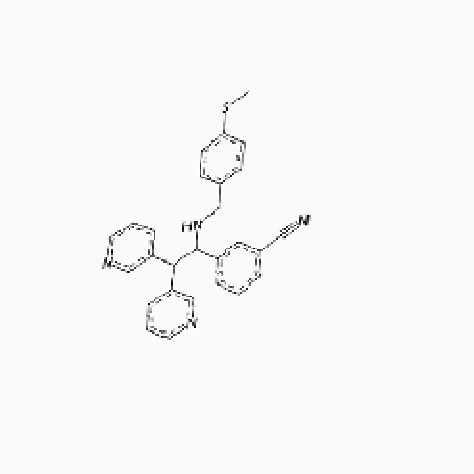 CSc1ccc(CNC(c2cccc(C#N)c2)C(c2cccnc2)c2cccnc2)cc1